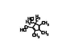 CC1=C(C)C(C)(C)[C]([Cr])=C1C.Cl.Cl